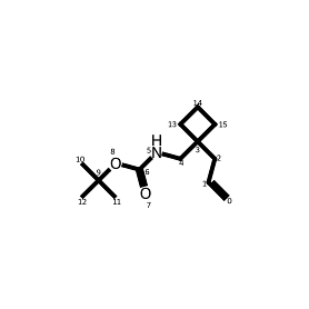 C=CCC1(CNC(=O)OC(C)(C)C)CCC1